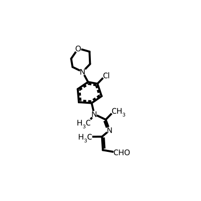 CC(=C/C=O)/N=C(/C)N(C)c1ccc(N2CCOCC2)c(Cl)c1